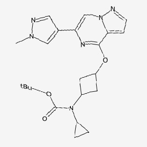 Cn1cc(-c2cn3nccc3c(OC3CC(N(C(=O)OC(C)(C)C)C4CC4)C3)n2)cn1